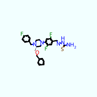 NC(=S)N/N=C/c1cc(F)c(N2CCN(Cc3ccc(F)cc3)[C@@H](COCc3ccccc3)C2)cc1F